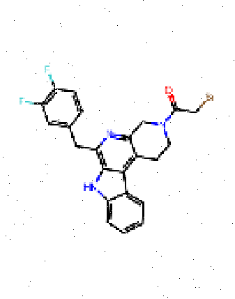 O=C(CBr)N1CCc2c(nc(Cc3ccc(F)c(F)c3)c3[nH]c4ccccc4c23)C1